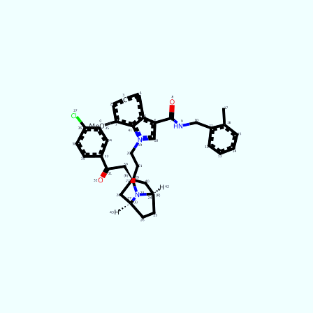 COc1cccc2c(C(=O)NCc3ccccc3C)cn(CCCN3[C@@H]4CC[C@H]3C[C@@H](CC(=O)c3ccc(Cl)cc3)C4)c12